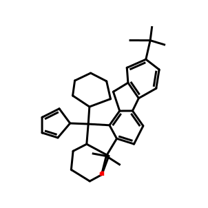 CC(C)(C)c1ccc2c(c1)Cc1c-2ccc(C(C)(C)C)c1C(C1C=CC=C1)(C1CCCCC1)C1CCCCC1